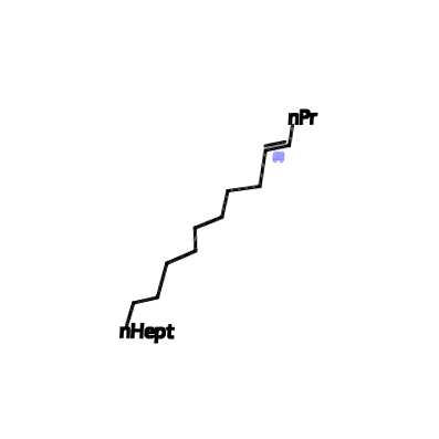 [CH2]CC/C=C/CCCCCCCCCCCCCCC